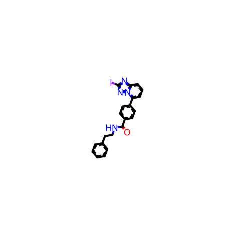 O=C(NCCc1ccccc1)c1ccc(-c2cccc3nc(I)nn23)cc1